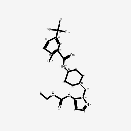 CCOC(=O)Oc1ccnn1C[C@H]1CC[C@H](NC(=O)c2cc(C(F)(F)F)ccc2Cl)CC1